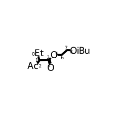 CCC(C(C)=O)C(=O)OCCOCC(C)C